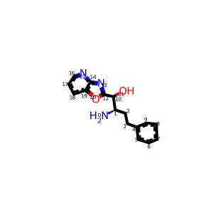 N[C@H](CCc1ccccc1)C(O)c1nc2ncccc2o1